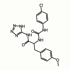 COc1ccc(CC(NC(=O)Nc2ccc(Cl)cc2)C(=O)Nc2nnn[nH]2)cc1